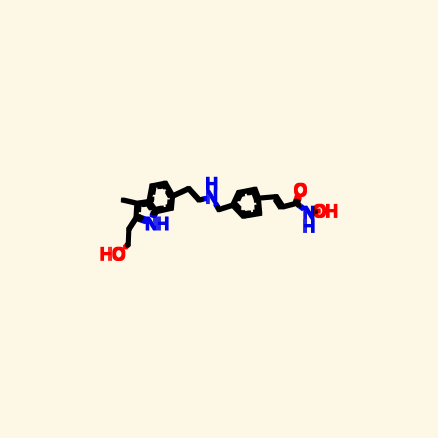 Cc1c(CCO)[nH]c2cc(CCNCc3ccc(/C=C/C(=O)NO)cc3)ccc12